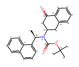 C[C@H](c1cccc2ccccc12)N(C(=O)OC(C)(C)C)C1CC(=O)c2ccccc2C1